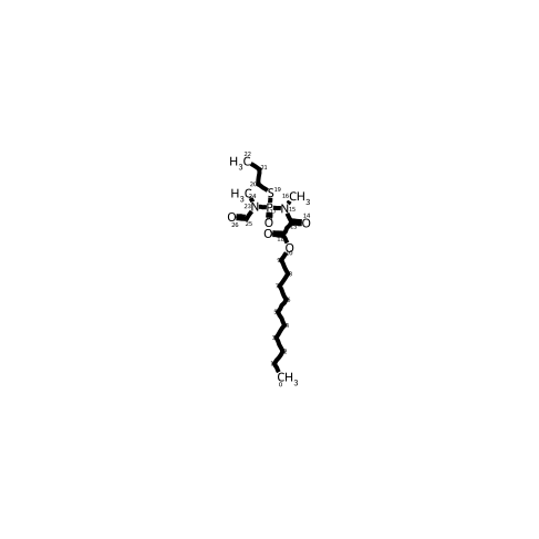 CCCCCCCCCCOC(=O)C(=O)N(C)P(=O)(SCCC)N(C)C=O